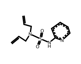 C=CCN(CC=C)S(=O)(=O)Nc1ccccn1